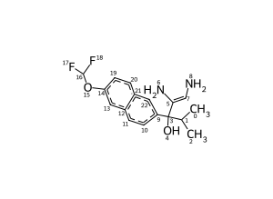 CC(C)C(O)(/C(N)=C/N)c1ccc2cc(OC(F)F)ccc2c1